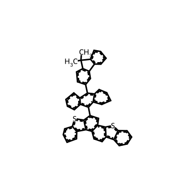 CC1(C)c2ccccc2-c2cc(-c3c4ccccc4c(-c4cc5c(ccc6c7ccccc7sc65)c5c4sc4ccccc45)c4ccccc34)ccc21